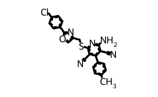 Cc1ccc(-c2c(C#N)c(N)nc(SCc3coc(-c4ccc(Cl)cc4)n3)c2C#N)cc1